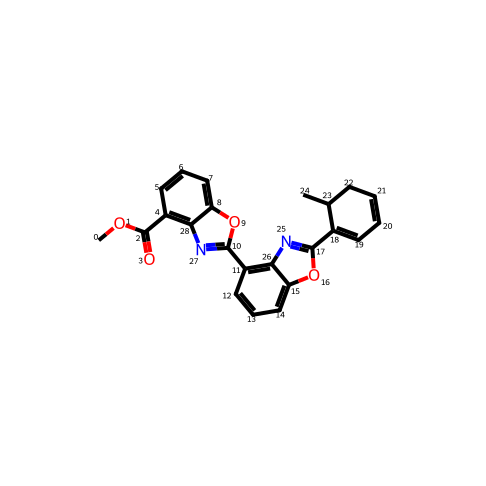 COC(=O)c1cccc2oc(-c3cccc4oc(C5=CC=CCC5C)nc34)nc12